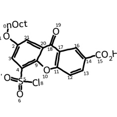 CCCCCCCCOc1cc(S(=O)(=O)Cl)c2oc3ccc(C(=O)O)cc3c(=O)c2c1